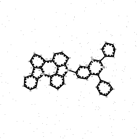 c1ccc(-c2nc(-c3ccccc3)c3ccc(-n4c5cccc6c7cccc8c9ccccc9n(c9cccc4c9c65)c78)cc3n2)cc1